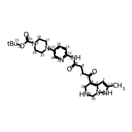 CC1=CC2=C(C(=O)CCC(=O)Nc3ccc(N4CCN(C(=O)OC(C)(C)C)CC4)cn3)CNCN2N1